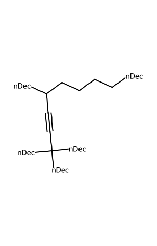 CCCCCCCCCCCCCCC(C#CC(CCCCCCCCCC)(CCCCCCCCCC)CCCCCCCCCC)CCCCCCCCCC